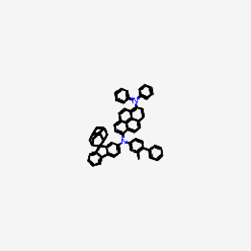 Cc1cc(N(c2ccc3c(c2)C2(c4ccccc4-3)C3CC4CC(C3)CC2C4)c2ccc3ccc4c(N(c5ccccc5)c5ccccc5)ccc5ccc2c3c54)ccc1-c1ccccc1